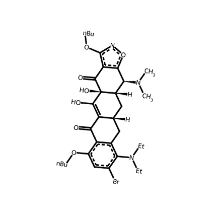 CCCCOc1cc(Br)c(N(CC)CC)c2c1C(=O)C1=C(O)[C@]3(O)C(=O)c4c(OCCCC)noc4[C@@H](N(C)C)[C@@H]3C[C@@H]1C2